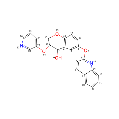 OC1c2cc(Oc3ccc4ccccc4n3)ccc2OCC1Oc1cccnc1